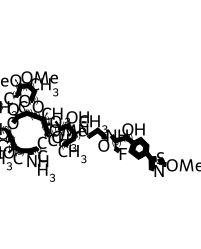 COc1ncc(-c2ccc([C@@H](O)[C@@H](CF)NC(=O)CCN(C)[C@H]3C[C@@H](C)O[C@@H](O[C@@H]4[C@@H](C)[C@H](O[C@H]5C[C@@](C)(OC)[C@@H](OC)[C@H](C)O5)[C@@H](C)C(=O)O[C@H](I)[C@@](C)(O)[C@H](O)[C@@H](C)C(=N)[C@H](C)C[C@@]4(C)OC)[C@@H]3O)cc2)s1